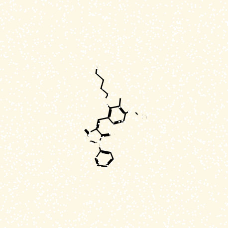 CCCOc1ccc(/C=C2/C(=O)NN(c3ccccc3)C2=O)c(OCCCCC(=O)O)c1C